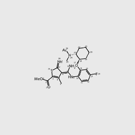 COC(=O)C1=C(C)/C(=C(/N)Nc2ccc(F)cc2O[C@@H]2CCCC[C@H]2N(C)C(C)=O)C(=N)S1